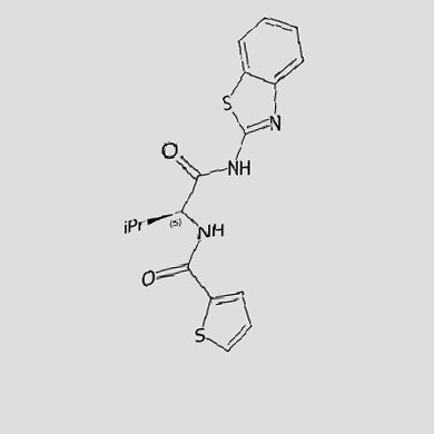 CC(C)[C@H](NC(=O)c1cccs1)C(=O)Nc1nc2ccccc2s1